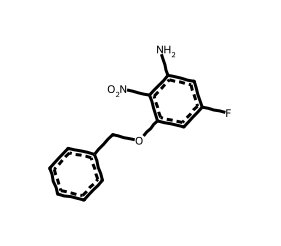 Nc1cc(F)cc(OCc2ccccc2)c1[N+](=O)[O-]